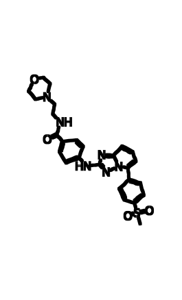 CS(=O)(=O)c1ccc(-c2cccc3nc(Nc4ccc(C(=O)NCCN5CCOCC5)cc4)nn23)cc1